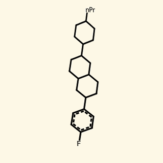 CCCC1CCC(C2CCC3CC(c4ccc(F)cc4)CCC3C2)CC1